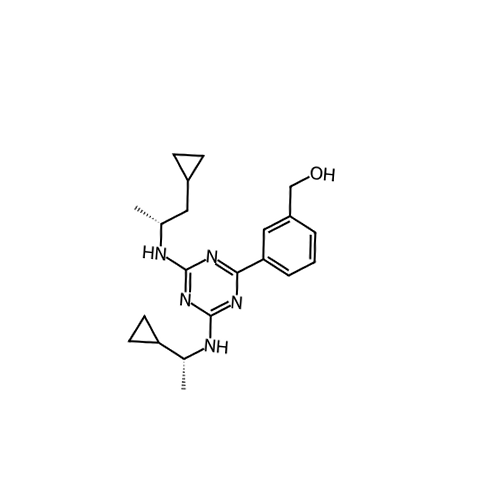 C[C@H](CC1CC1)Nc1nc(N[C@H](C)C2CC2)nc(-c2cccc(CO)c2)n1